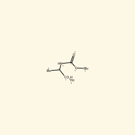 CCC(C)C(NC(=O)OC(C)(C)C)C(=O)O.F